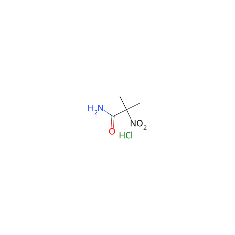 CC(C)(C(N)=O)[N+](=O)[O-].Cl